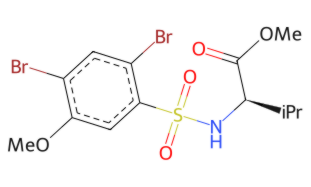 COC(=O)[C@H](NS(=O)(=O)c1cc(OC)c(Br)cc1Br)C(C)C